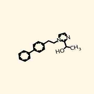 CC(O)c1nccn1CCc1ccc(-c2ccccc2)cc1